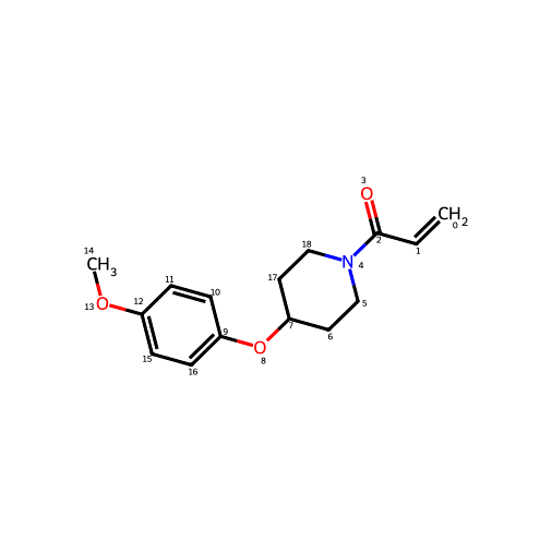 C=CC(=O)N1CCC(Oc2ccc(OC)cc2)CC1